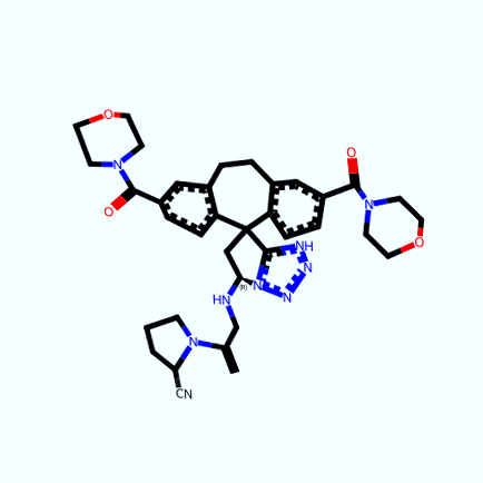 C=C(CN[C@H](C)CC1(c2nnn[nH]2)c2ccc(C(=O)N3CCOCC3)cc2CCc2cc(C(=O)N3CCOCC3)ccc21)N1CCCC1C#N